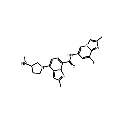 CNC1CCN(c2ccc(C(=O)Nc3cc(F)c4nc(C)cn4c3)n3nc(C)cc23)C1